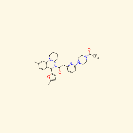 Cc1ccc(C(NC(=O)Cc2cccc(N3CCN(C(=O)C(F)(F)F)CC3)n2)c2ccc(C)o2)c(N2CCCCC2)c1